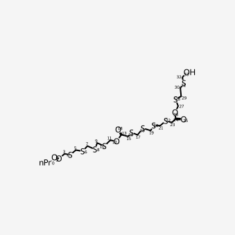 CCCOOCSCSCSCSCOC(=O)CSCSCSCSCC(=O)OCSCCSCO